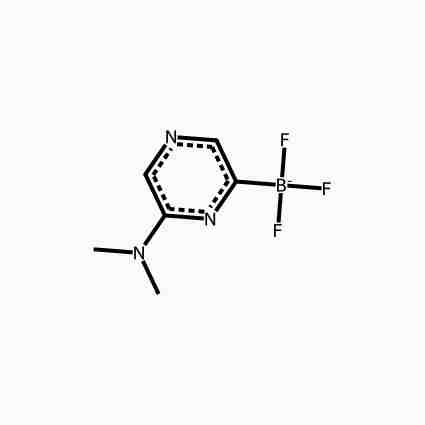 CN(C)c1cncc([B-](F)(F)F)n1